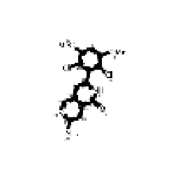 COc1cc(OC)c(Cl)c(-c2cc3cnc(N)cc3c(=O)[nH]2)c1Cl